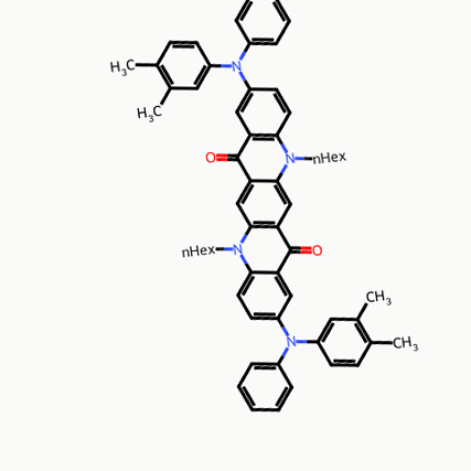 CCCCCCn1c2ccc(N(c3ccccc3)c3ccc(C)c(C)c3)cc2c(=O)c2cc3c(cc21)c(=O)c1cc(N(c2ccccc2)c2ccc(C)c(C)c2)ccc1n3CCCCCC